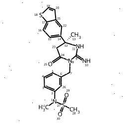 CN(c1cccc(CN2C(=N)N[C@](C)(c3ccc4sccc4c3)CC2=O)c1)S(C)(=O)=O